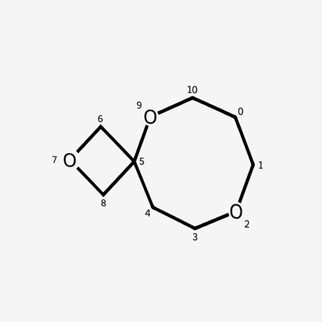 C1COCCC2(COC2)OC1